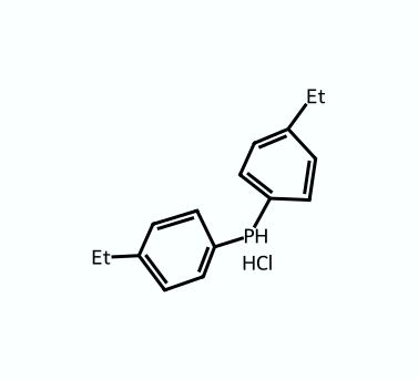 CCc1ccc(Pc2ccc(CC)cc2)cc1.Cl